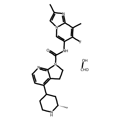 Cc1cn2cc(NC(=O)N3CCc4c(C5CCN[C@@H](C)C5)ccnc43)c(F)c(C)c2n1.O=CO